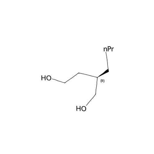 CCCC[C@@H](CO)CCO